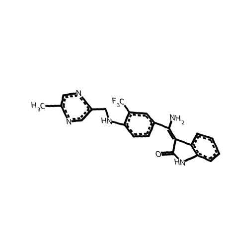 Cc1cnc(CNc2ccc(C(N)=C3C(=O)Nc4ccccc43)cc2C(F)(F)F)cn1